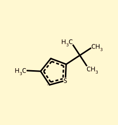 Cc1[c]sc(C(C)(C)C)c1